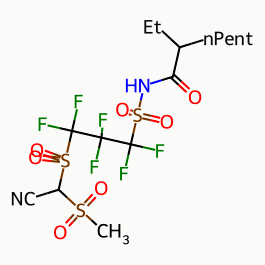 CCCCCC(CC)C(=O)NS(=O)(=O)C(F)(F)C(F)(F)C(F)(F)S(=O)(=O)C(C#N)S(C)(=O)=O